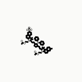 CC(=O)OCCN1/C(=C/C=C2\CCC(/C=C/C3=[N+](CCOC(C)=O)c4ccc5cc(S(=O)(=O)[O-])ccc5c4C3(C)C)=C2N(c2ccccc2)c2ccccc2)C(C)(C)c2c1ccc1cc(C)ccc21